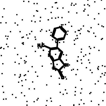 Cc1nc2c(cc1-c1ccccc1)NC(=O)[N]2